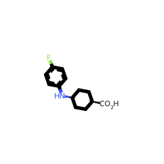 O=C(O)[C@H]1CC[C@@H](Nc2ccc(F)cc2)CC1